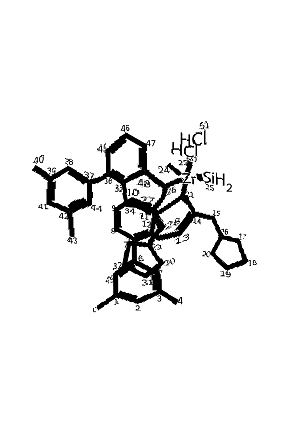 Cc1cc(C)cc(-c2cccc3c2C=C(CC2CCCC2)[CH]3[Zr]([CH3])([CH3])(=[SiH2])[CH]2C(CC3CCCC3)=Cc3c(-c4cc(C)cc(C)c4)cccc32)c1.Cl.Cl